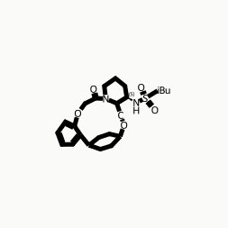 CCC(C)S(=O)(=O)N[C@H]1CCCN2C(=O)COc3ccccc3C3CCC(CC3)OCC12